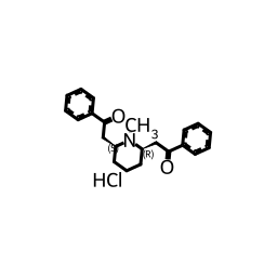 CN1[C@@H](CC(=O)c2ccccc2)CCC[C@H]1CC(=O)c1ccccc1.Cl